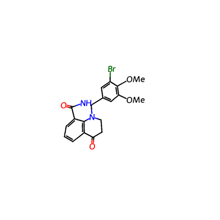 COc1cc(C2NC(=O)c3cccc4c3N2CCC4=O)cc(Br)c1OC